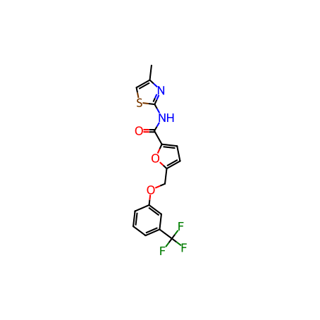 Cc1csc(NC(=O)c2ccc(COc3cccc(C(F)(F)F)c3)o2)n1